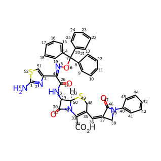 Nc1nc(/C(=N/OC(c2ccccc2)(c2ccccc2)c2ccccc2)C(=O)N[C@@H]2C(=O)N3C(C(=O)O)=C(/C=C4/CN(c5ccccc5)C4=O)CS[C@H]23)cs1